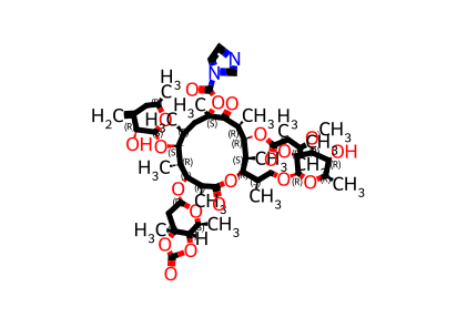 C=C1C[C@@H](C)O[C@@H](O[C@@H]2[C@@H](C)[C@H](O[C@H]3C[C@@]4(C)OC(=O)O[C@H]4[C@H](C)O3)[C@@H](C)C(=O)O[C@H]([C@@H](C)CO[C@@H]3O[C@H](C)[C@@H](O)[C@@H](OC)[C@H]3OC)[C@H](C)[C@@H](OC(=O)CC(C)C)[C@@H](C)C(=O)[C@@](C)(OC(=O)n3ccnc3)C[C@@H]2C)[C@@H]1O